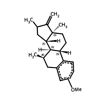 C=C1C(C)C[C@H]2[C@@H]3[C@H](C)Cc4cc(OC)ccc4[C@H]3CC[C@]12C